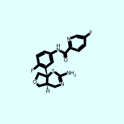 NC1=NC[C@H]2COC[C@]2(c2cc(NC(=O)c3ccc(F)cn3)ccc2F)S1